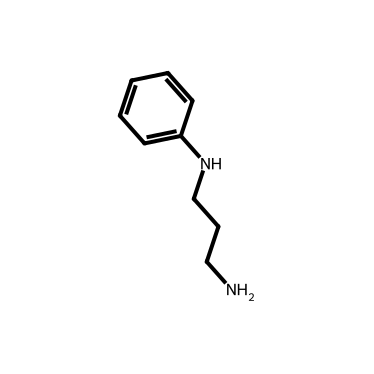 NCCCNc1ccccc1